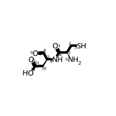 N[C@@H](CS)C(=O)N[C@H]([C]=O)CC(=O)O